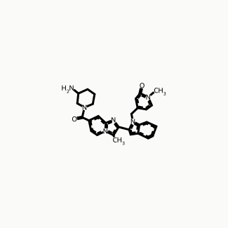 Cc1c(-c2cc3ccccc3n2Cc2ccn(C)c(=O)c2)nc2cc(C(=O)N3CCCC(N)C3)ccn12